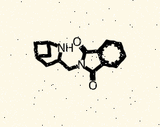 O=C1c2ccccc2C(=O)N1CC1CC2CC(C2)N1